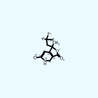 CC1(CC(F)(F)F)OC(=O)C2=C1C=C(Cl)NC2